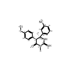 CCSc1ccc([C@@H]2C(=O)N(C)C(=N)N[C@]2(C)c2cccc(C#N)c2)cc1